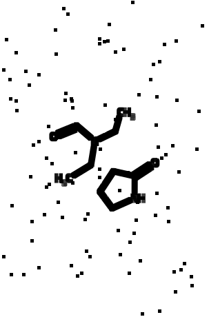 CCN(C=O)CC.O=C1CCCN1